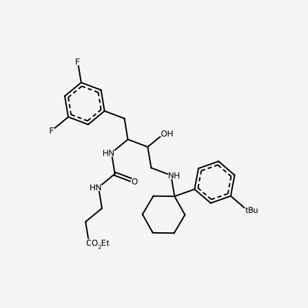 CCOC(=O)CCNC(=O)NC(Cc1cc(F)cc(F)c1)C(O)CNC1(c2cccc(C(C)(C)C)c2)CCCCC1